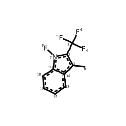 Cc1c(C(F)(F)F)n(F)c2ccccc12